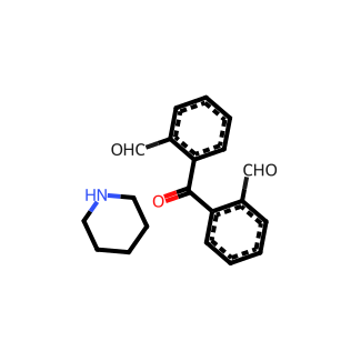 C1CCNCC1.O=Cc1ccccc1C(=O)c1ccccc1C=O